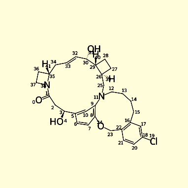 O=C1C[C@H](O)c2ccc3c(c2)N(CCCCc2cc(Cl)ccc2CO3)C[C@@H]2CC[C@H]2[C@@H](O)/C=C/C[C@H]2CCN12